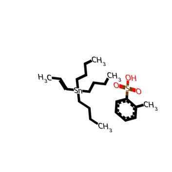 C/C=[CH]/[Sn]([CH2]CCC)([CH2]CCC)[CH2]CCC.Cc1ccccc1S(=O)(=O)O